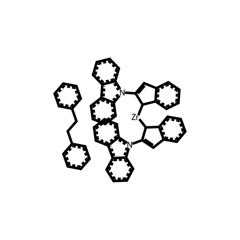 C1=C(n2c3ccccc3c3ccccc32)[CH]([Zr][CH]2C(n3c4ccccc4c4ccccc43)=Cc3ccccc32)c2ccccc21.c1ccc(CCc2ccccc2)cc1